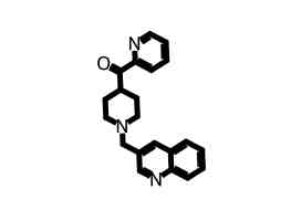 O=C(c1ccccn1)C1CCN(Cc2cnc3ccccc3c2)CC1